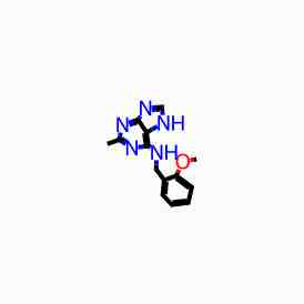 COc1ccccc1CNc1nc(C)nc2nc[nH]c12